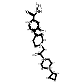 CNC(=O)c1cc2oc3c(c2cn1)CCN(CC(=O)N1CCN(C2CCC2)CC1)C3